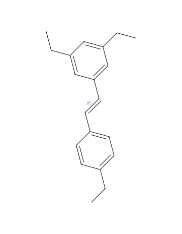 CCc1ccc(/C=C/c2cc(CC)cc(CC)c2)cc1